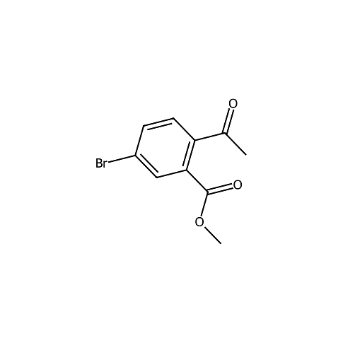 COC(=O)c1cc(Br)ccc1C(C)=O